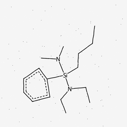 CCCC[Si](c1ccccc1)(N(C)C)N(CC)CC